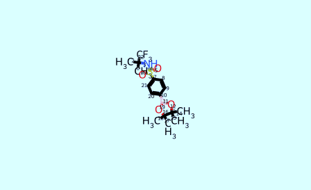 CC(C)(NS(=O)(=O)c1ccc(B2OC(C)(C)C(C)(C)O2)cc1)C(F)(F)F